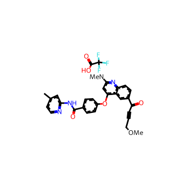 CNc1cc(Oc2ccc(C(=O)Nc3cc(C)ccn3)cc2)c2cc(C(=O)C#CCOC)ccc2n1.O=C(O)C(F)(F)F